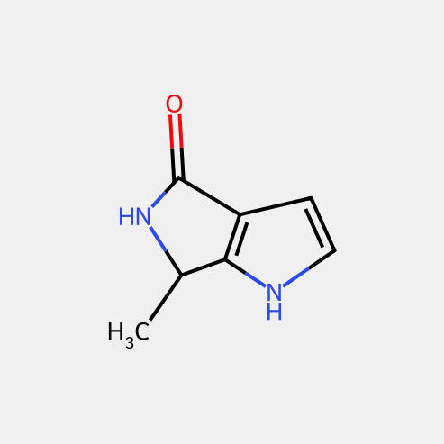 CC1NC(=O)c2cc[nH]c21